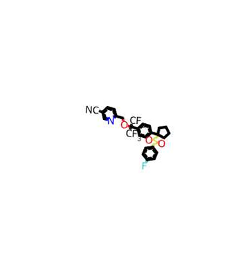 N#Cc1ccc(COC(c2ccc(C3(S(=O)(=O)c4ccc(F)cc4)CCCC3)cc2)(C(F)(F)F)C(F)(F)F)nc1